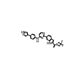 C=C(c1cc2ccc(-c3nccc(Nc4ccc(-c5cn[nH]c5)cc4)n3)cc2[nH]1)N1CC(F)(F)C1